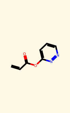 C=CC(=O)Oc1cccnn1